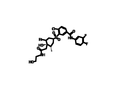 CCC1C[C@@H](S(=O)(=O)c2cc(C(=O)Nc3ccc(F)c(F)c3)ccc2Cl)C[C@H](C)[C@@]1(O)CC(=O)NCCO